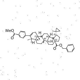 COC(=O)c1ccc(C2=CC[C@]3(C)[C@H]4CC[C@@H]5[C@H]6[C@H](C7(C)CC7)CC[C@]6(C(=O)OCc6ccccc6)CC[C@@]5(C)[C@]4(C)CC[C@H]3C2(C)C)cc1